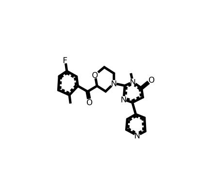 Cc1ccc(F)cc1C(=O)C1CN(c2nc(-c3ccncc3)cc(=O)n2C)CCO1